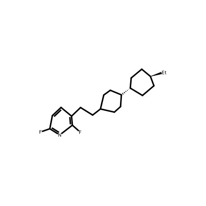 CC[C@H]1CC[C@H](C2CCC(CCc3ccc(F)nc3F)CC2)CC1